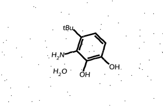 CC(C)(C)c1ccc(O)c(O)c1N.O